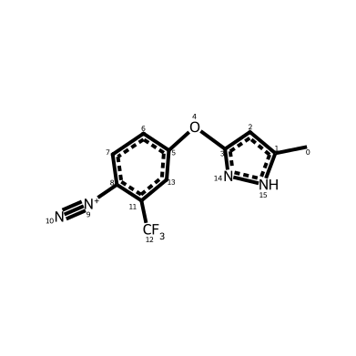 Cc1cc(Oc2ccc([N+]#N)c(C(F)(F)F)c2)n[nH]1